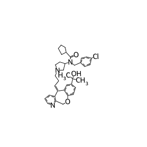 CC(C)(O)c1ccc2c(c1)C(=CCCN1CCC(N(Cc3ccc(Cl)cc3)C(=O)C3CCCC3)C1)c1cccnc1CO2